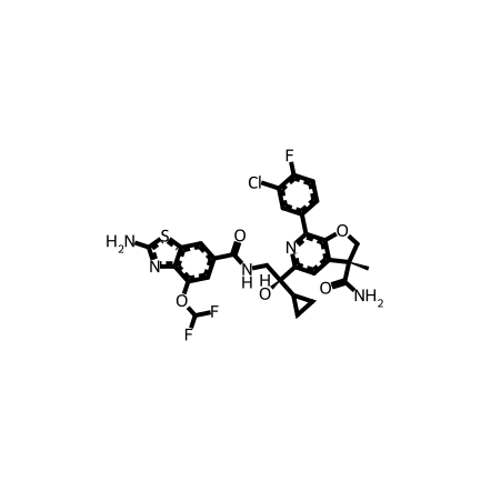 C[C@]1(C(N)=O)COc2c1cc([C@@](O)(CNC(=O)c1cc(OC(F)F)c3nc(N)sc3c1)C1CC1)nc2-c1ccc(F)c(Cl)c1